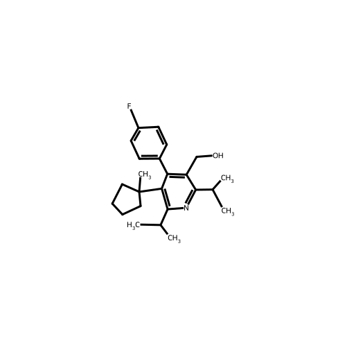 CC(C)c1nc(C(C)C)c(C2(C)CCCC2)c(-c2ccc(F)cc2)c1CO